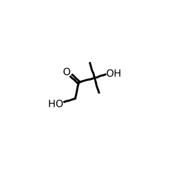 CC(C)(O)C(=O)CO